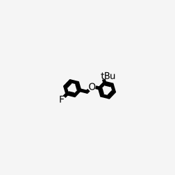 CC(C)(C)c1ccccc1OCc1cccc(F)c1